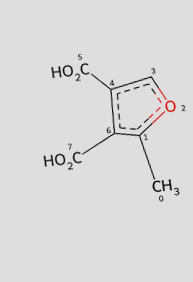 Cc1occ(C(=O)O)c1C(=O)O